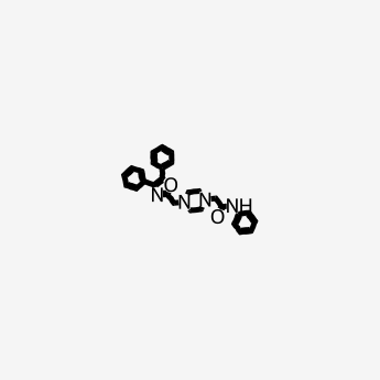 O=C(CN1CCN(Cc2nc(-c3ccccc3)c(-c3ccccc3)o2)CC1)Nc1ccccc1